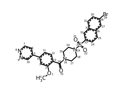 COc1cc(-c2ccnnc2)ccc1C(=O)N1CCN(S(=O)(=O)c2ccc3cc(Br)ccc3c2)CC1